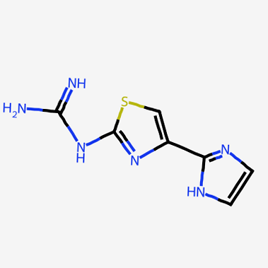 N=C(N)Nc1nc(-c2ncc[nH]2)cs1